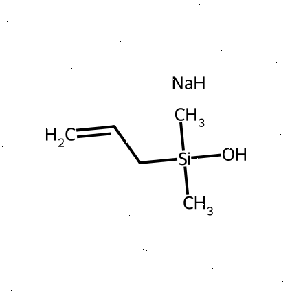 C=CC[Si](C)(C)O.[NaH]